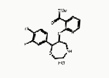 COC(=O)c1cccnc1OC1CNCCOC1c1ccc(Cl)c(F)c1.Cl